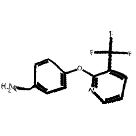 Nc1ccc(Oc2ncccc2C(F)(F)F)cc1